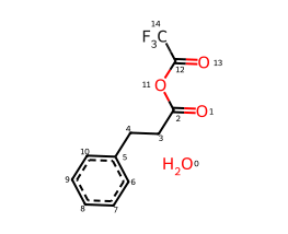 O.O=C(CCc1ccccc1)OC(=O)C(F)(F)F